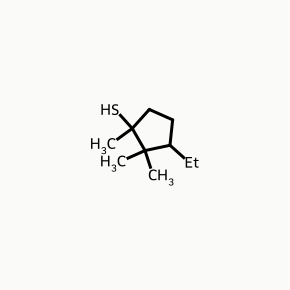 CCC1CCC(C)(S)C1(C)C